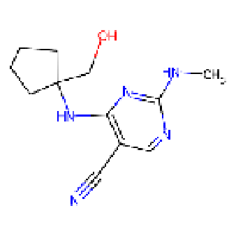 CNc1ncc(C#N)c(NC2(CO)CCCC2)n1